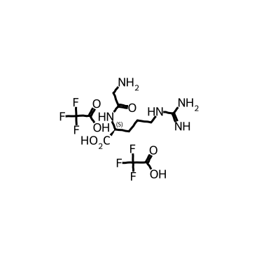 N=C(N)NCCC[C@H](NC(=O)CN)C(=O)O.O=C(O)C(F)(F)F.O=C(O)C(F)(F)F